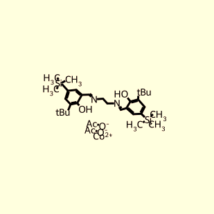 CC(=O)[O-].CC(=O)[O-].CC(C)(C)c1cc([Si](C)(C)C)cc(C=NCCN=Cc2cc([Si](C)(C)C)cc(C(C)(C)C)c2O)c1O.[Co+2]